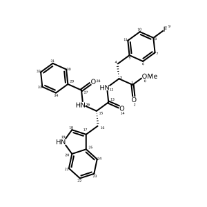 COC(=O)[C@@H](Cc1ccc(F)cc1)NC(=O)[C@H](Cc1c[nH]c2ccccc12)NC(=O)c1ccccc1